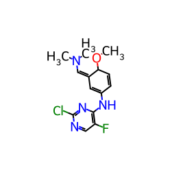 COC1C=CC(Nc2nc(Cl)ncc2F)=CC1=CN(C)C